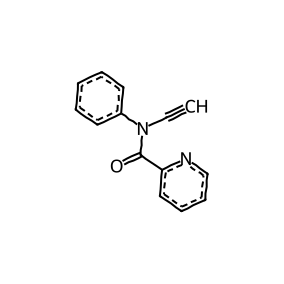 C#CN(C(=O)c1ccccn1)c1ccccc1